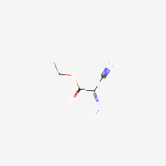 CCOC(=O)/C(C#N)=N\[O-].[K+]